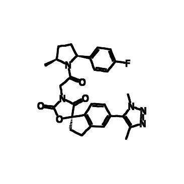 Cc1nnn(C)c1-c1ccc2c(c1)CC[C@@]21OC(=O)N(CC(=O)N2[C@@H](C)CC[C@H]2c2ccc(F)cc2)C1=O